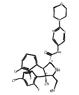 CC(C)(C)CC1N[C@@H](C(=O)Nc2cnc(N3CCOCC3)nc2)C(c2cccc(Cl)c2F)[C@@]1(C#N)c1ccc(Cl)cc1F